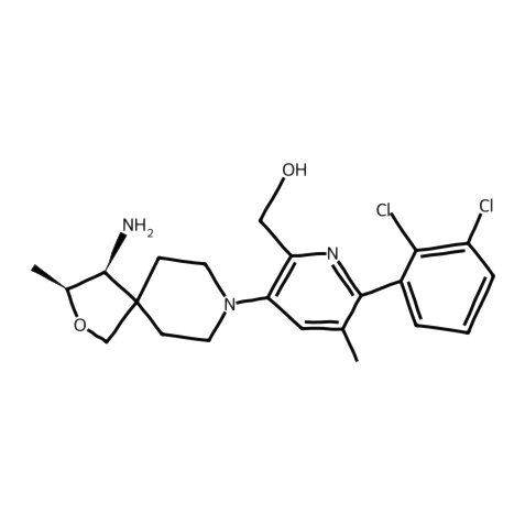 Cc1cc(N2CCC3(CC2)CO[C@@H](C)[C@H]3N)c(CO)nc1-c1cccc(Cl)c1Cl